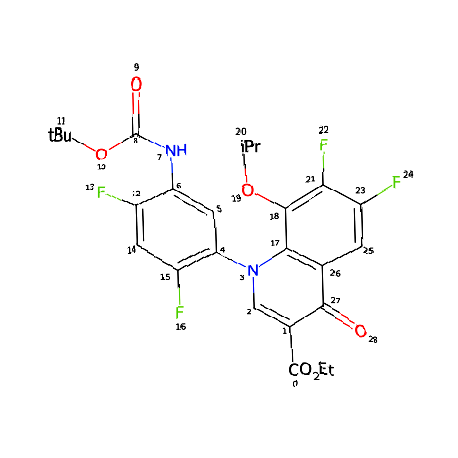 CCOC(=O)c1cn(-c2cc(NC(=O)OC(C)(C)C)c(F)cc2F)c2c(OC(C)C)c(F)c(F)cc2c1=O